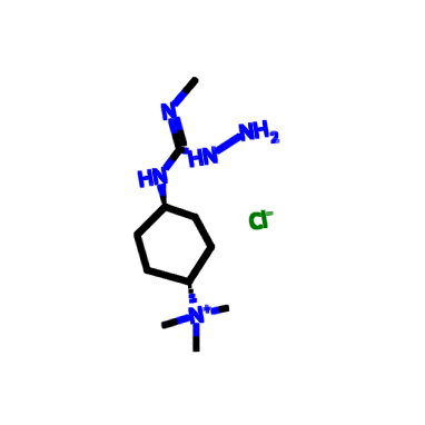 CN=C(NN)N[C@H]1CC[C@H]([N+](C)(C)C)CC1.[Cl-]